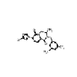 CCc1cn(-c2ccc3n(c2=O)CC(C)N(Cc2cc(C)cc(C(F)(F)F)c2)C3=O)cn1